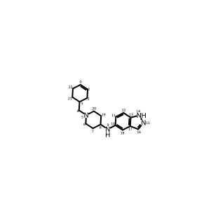 C1=CCC(CN2CCC(Nc3ccc4[nH]ncc4c3)CC2)CC1